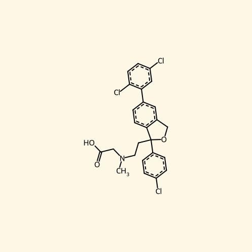 CN(CCC1(c2ccc(Cl)cc2)OCc2cc(-c3cc(Cl)ccc3Cl)ccc21)CC(=O)O